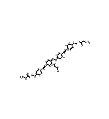 C=CC(=O)OCCc1ccc(C#Cc2ccc(COc3ccc(C#Cc4ccc(CCOC(=O)C=C)cc4)cc3COC=O)cc2)cc1